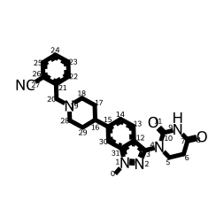 Cn1nc(N2CCC(=O)NC2=O)c2ccc(C3CCN(Cc4ccccc4C#N)CC3)cc21